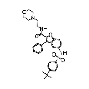 CC(C)(C)c1ccc(S(=O)(=O)Nc2ccc3oc(C(=O)NCCN4CCOCC4)c(-c4ccccc4)c3c2)cc1